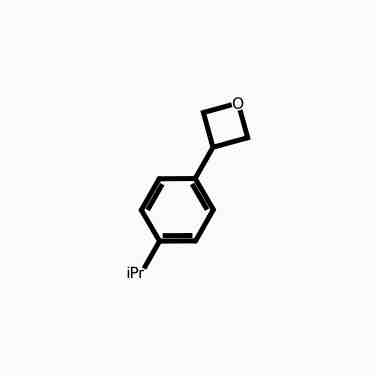 CC(C)c1ccc(C2COC2)cc1